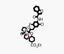 CCOC(=O)[C@H]1CC[C@H](OC(C(=O)Cc2cc(Cl)c(NC(=O)c3coc4ccccc34)cc2F)(N2CCCC2)N2CCCS2(=O)=O)CC1